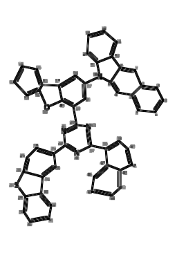 c1ccc2cc3c(cc2c1)c1ccccc1n3-c1cc(-c2nc(-c3ccc4sc5ccccc5c4c3)nc(-c3cccc4ccccc34)n2)c2oc3ccccc3c2c1